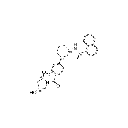 C[C@@H](N[C@H]1CCC[C@H](c2ccc(C(=O)N3C[C@H](O)C[C@H]3C(=O)O)cc2)C1)c1cccc2ccccc12